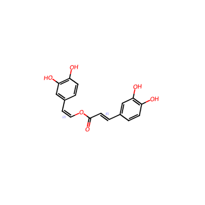 O=C(/C=C/c1ccc(O)c(O)c1)O/C=C\c1ccc(O)c(O)c1